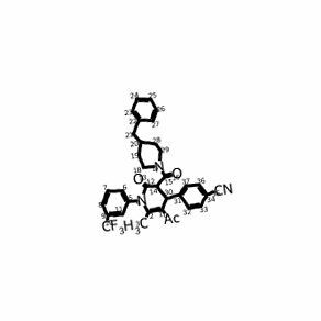 CC(=O)C1=C(C)N(c2cccc(C(F)(F)F)c2)C(=O)C(C(=O)N2CCC(Cc3ccccc3)CC2)C1c1ccc(C#N)cc1